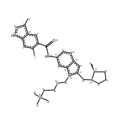 Cc1n[nH]c2cc(F)c(C(=O)Nc3cnc4cc(CN5CCC[C@@H]5C)n(COCC[Si](C)(C)C)c4c3)cc12